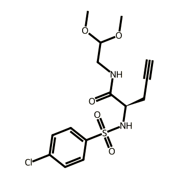 C#CC[C@@H](NS(=O)(=O)c1ccc(Cl)cc1)C(=O)NCC(OC)OC